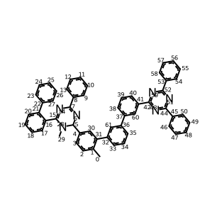 Cc1ccc(C2N=C(c3ccccc3)N=C(c3ccccc3-c3ccccc3)N2C)cc1-c1cccc(-c2cccc(-c3nc(-c4ccccc4)nc(-c4ccccc4)n3)c2)c1